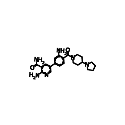 NC(=O)c1cc(-c2ccc(C(=O)N3CCC(N4CCCC4)CC3)c(N)c2)cnc1N